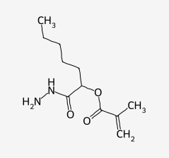 C=C(C)C(=O)OC(CCCCC)C(=O)NN